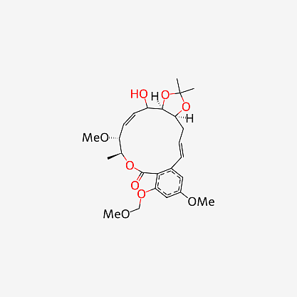 COCOc1cc(OC)cc2c1C(=O)O[C@@H](C)[C@H](OC)/C=C\C(O)[C@H]1OC(C)(C)O[C@H]1C/C=C/2